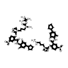 CN(CCCn1cnnc1Sc1ccc([N+](=O)[O-])cc1C(=O)Nc1c(F)cc(C2CCCC2)cc1F)C(=O)OC(C)(C)C.CNCCCn1cnnc1Sc1ccc([N+](=O)[O-])cc1C(=O)Nc1c(F)cc(C2CCCC2)cc1F